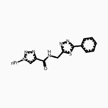 CCCn1cc(C(=O)NCc2nnc(-c3ccccc3)s2)nn1